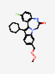 COOCc1ccc2c(C3CCCCC3)c3n(c2c1)CC(=O)Nc1ccc(F)cc1-3